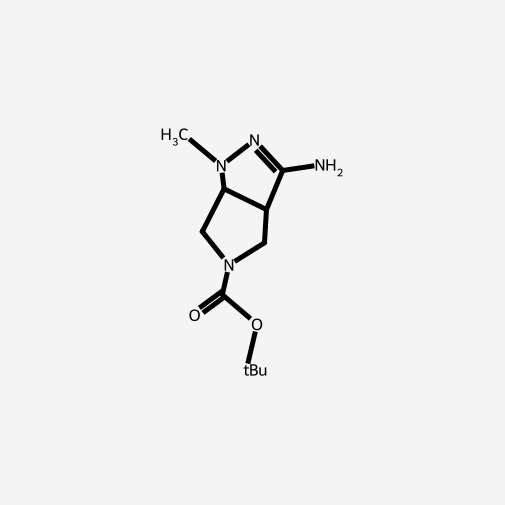 CN1N=C(N)C2CN(C(=O)OC(C)(C)C)CC21